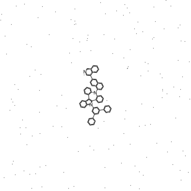 c1ccc(-c2cc(-c3ccccc3)cc(-n3c4c(c5ccccc53)-c3ccccc3N(c3cccc5cc(-c6cncc7ccccc67)ccc35)c3ccccc3-4)c2)cc1